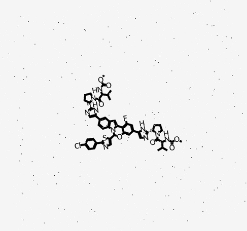 COC(=O)NC(C(=O)N1CCC[C@H]1c1ncc(-c2cc(F)c3c(c2)OC(c2cnc(-c4ccc(Cl)cc4)s2)n2c-3cc3cc(-c4cnc([C@@H]5CCCN5C(=O)C(NC(=O)OC)C(C)C)[nH]4)ccc32)[nH]1)C(C)C